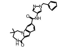 CC1(C)CNC(=O)c2cc3ccc(C(=O)Nc4cnn(Cc5ccccc5)c4)cc3n2C1